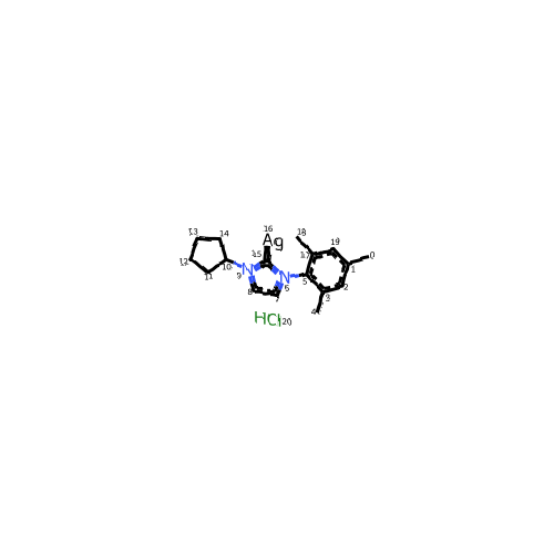 Cc1cc(C)c(-n2ccn(C3CCCC3)[c]2=[Ag])c(C)c1.Cl